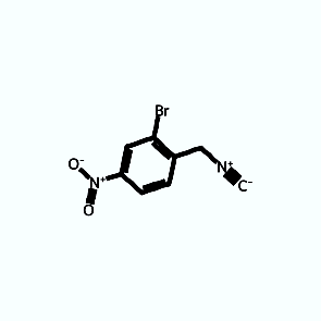 [C-]#[N+]Cc1ccc([N+](=O)[O-])cc1Br